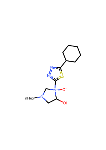 CCCCCCN1CC(O)[N+]([O-])(c2nnc(C3CCCCC3)s2)C1